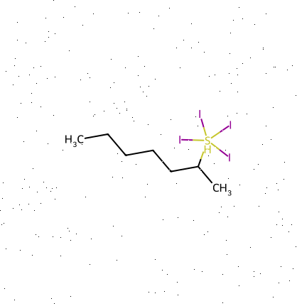 CCCCCC(C)[SH](I)(I)(I)I